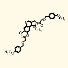 COc1ccc(COCC(=O)Oc2cc3c4c(cnc3cc2Cl)CN(C(=O)COCc2ccc(OC)cc2)[C@H]4C)cc1